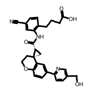 N#Cc1ccc(CCCC(=O)O)c(NC(=O)[C@@H]2C[C@]23CCOc2ccc(-c4ccc(CO)cn4)cc23)c1